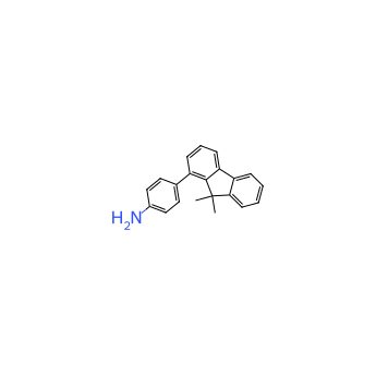 CC1(C)c2ccccc2-c2cccc(-c3ccc(N)cc3)c21